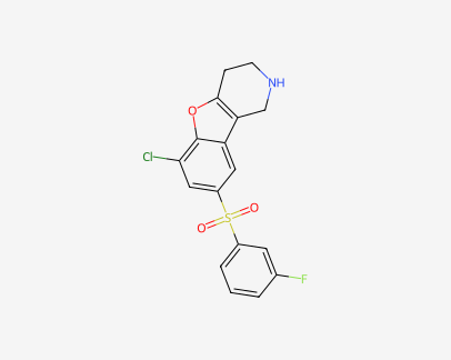 O=S(=O)(c1cccc(F)c1)c1cc(Cl)c2oc3c(c2c1)CNCC3